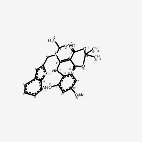 CCCCCC(C)N(Cc1cc2ccccc2s1)C(Nc1ccc(OC)cc1OC)=C1C(=O)OC(C)(C)OC1=O